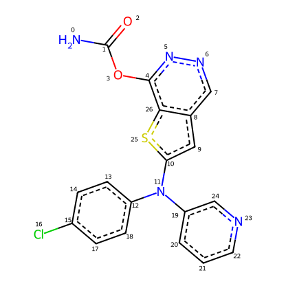 NC(=O)Oc1nncc2cc(N(c3ccc(Cl)cc3)c3cccnc3)sc12